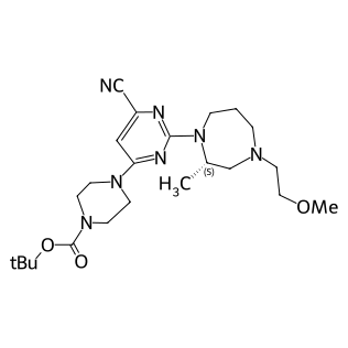 COCCN1CCCN(c2nc(C#N)cc(N3CCN(C(=O)OC(C)(C)C)CC3)n2)[C@@H](C)C1